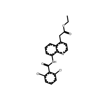 CCOC(=O)Cc1ccnc2c(NC(=O)c3c(Cl)cccc3Cl)cccc12